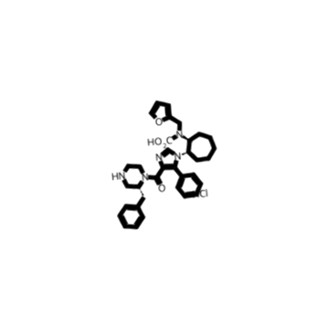 Cl.O=C(c1ncn([C@H]2CCCCC[C@@H]2N(Cc2ccco2)C(=O)O)c1-c1ccccc1)N1CCNC[C@H]1Cc1ccccc1